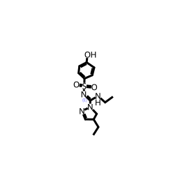 CCN/C(=N\S(=O)(=O)c1ccc(O)cc1)N1CC(CC)C=N1